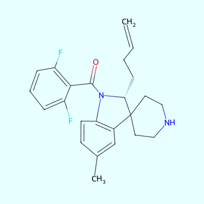 C=CCC[C@H]1N(C(=O)c2c(F)cccc2F)c2ccc(C)cc2C12CCNCC2